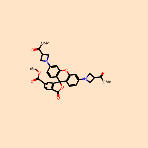 COC(=O)C1CN(c2ccc3c(c2)Oc2cc(N4CC(C(=O)OC)C4)ccc2C32OC(=O)c3ccc(C(=O)OC(C)(C)C)cc32)C1